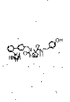 CCCCC(=O)N(Cc1ccc(-c2ccccc2-c2nnn[nH]2)cc1)CC1(C(=O)NCCc2ccc(O)cc2)CCCC1